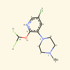 CC(C)(C)N1CCN(c2cc(Cl)cnc2OC(F)F)CC1